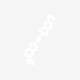 Cc1ccc2c(c1)OB(C#CB1Oc3ccc(C)cc3O1)O2